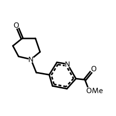 COC(=O)c1ccc(CN2CCC(=O)CC2)cn1